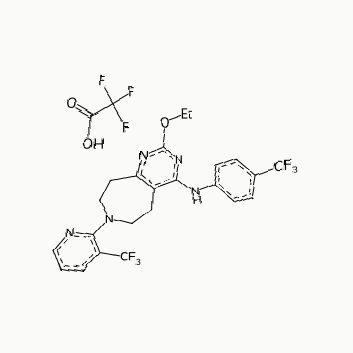 CCOc1nc2c(c(Nc3ccc(C(F)(F)F)cc3)n1)CCN(c1ncccc1C(F)(F)F)CC2.O=C(O)C(F)(F)F